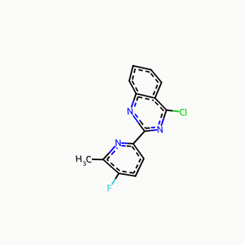 Cc1nc(-c2nc(Cl)c3ccccc3n2)ccc1F